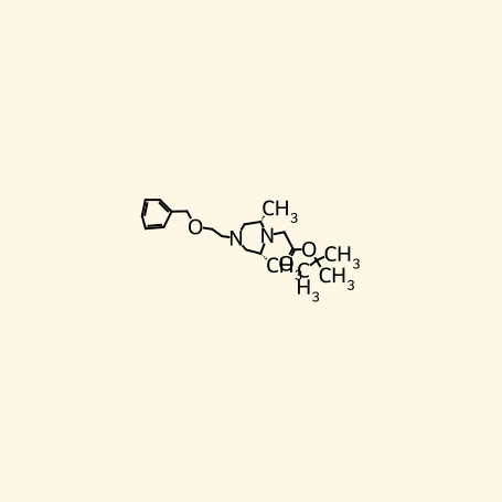 C[C@@H]1CN(CCOCc2ccccc2)C[C@H](C)N1CC(=O)OC(C)(C)C